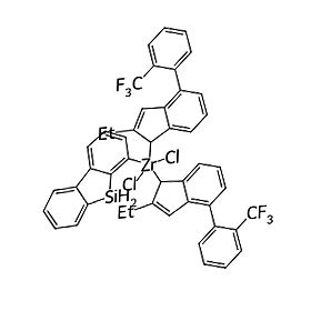 CCC1=Cc2c(-c3ccccc3C(F)(F)F)cccc2[CH]1[Zr]([Cl])([Cl])([c]1cccc2c1[SiH2]c1ccccc1-2)[CH]1C(CC)=Cc2c(-c3ccccc3C(F)(F)F)cccc21